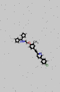 Cc1cc(C#Cc2ccc(-c3ccc(Cl)cc3)cn2)ccc1OCCNC(C1CCCC1)C1CCCC1